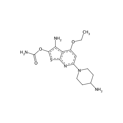 CCOc1cc(N2CCC(N)CC2)nc2sc(OC(N)=O)c(N)c12